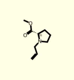 C=CCN1CCC[C@H]1C(=O)OC